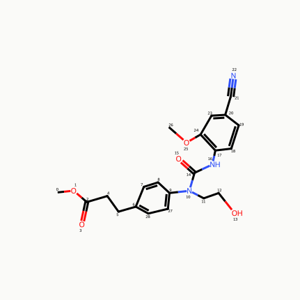 COC(=O)CCc1ccc(N(CCO)C(=O)Nc2ccc(C#N)cc2OC)cc1